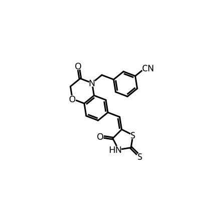 N#Cc1cccc(CN2C(=O)COc3ccc(C=C4SC(=S)NC4=O)cc32)c1